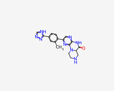 Cc1cc(-c2nnc[nH]2)ccc1-c1cnc2c(n1)N1CCNCC1C(=O)N2